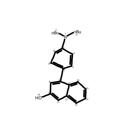 CCCCN(CCCC)c1ccc(-c2cc(O)cc3ccccc23)cc1